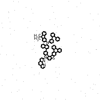 CC1(C)c2ccccc2-c2cc(N(c3cccc(-c4ccccc4-c4ccccc4)c3)c3ccc(-c4ccc5c(c4)c4c6c(ccc4n5-c4ccc5ccc7cccnc7c5n4)sc4cc5c7ccccc7c7ccccc7c5cc46)c4ccccc34)ccc21